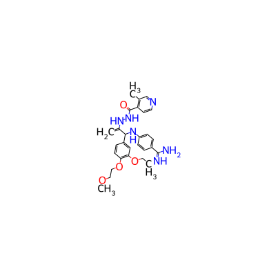 C=C(NNC(=O)c1ccncc1C)C(Nc1ccc(C(=N)N)cc1)c1ccc(OCCOC)c(OCC)c1